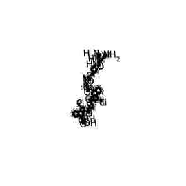 CN(CCN(C)C(=O)Oc1cc2c(c3ccccc13)[C@H](CCl)CN2C(=O)c1ccc(C(=O)N2C[C@@H](CCl)c3c2cc(OP(=O)(O)O)c2ccccc32)s1)C(=O)OCc1ccc(NC(=O)[C@H](CCCN)NC(N)=O)cc1